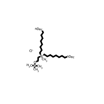 CCCCCCCCCCCCCCCCCC[N+](C)(CCCCCCCCCCCCCCCCCC)CCO[Si](C)(C)C.[Cl-]